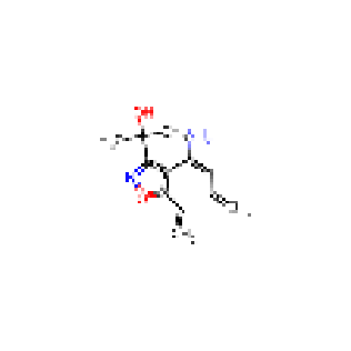 C=C/C=C(/N)c1c(C(C)(C)O)noc1C=C